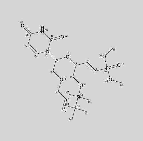 C=CCOCC(OC(/C=C/P(=O)(OC)OC)CO[Si](C)(C)C(C)(C)C)n1ccc(=O)[nH]c1=O